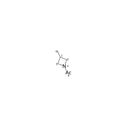 [CH2]C1CN(C(C)=O)C1